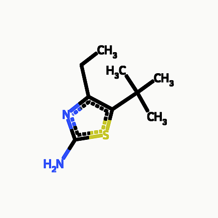 CCc1nc(N)sc1C(C)(C)C